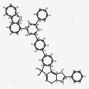 CC1(C)C2=CCC3N=C(c4ccccc4)SC3=C2c2ccc(-c3ccc(-c4nc(-c5ccccc5)nc(-c5cccc6c5oc5ccccc56)n4)cc3)cc21